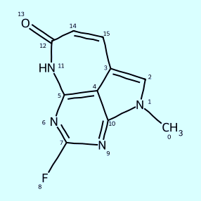 Cn1cc2c3c(nc(F)nc31)NC(=O)C=C2